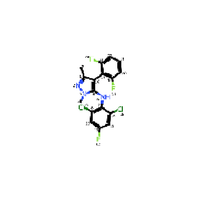 Cc1nn(C)c(Nc2c(Cl)cc(F)cc2Cl)c1-c1c(F)cccc1F